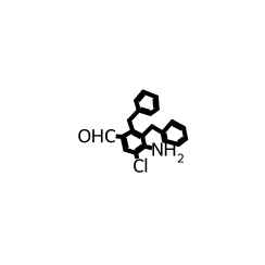 Nc1c(Cl)cc(C=O)c(Cc2ccccc2)c1Cc1ccccc1